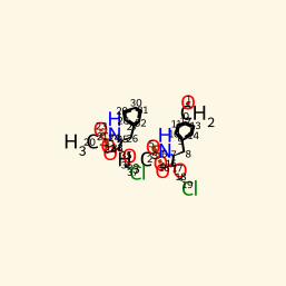 C=O.CS(=O)(=O)N[C@@H](Cc1ccccc1)C(=O)OCCl.CS(=O)(=O)N[C@@H](Cc1ccccc1)C(=O)OCCl